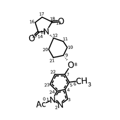 CC(=O)n1ncc2c(C)c(O[C@H]3CC[C@@H](N4C(=O)CCC4=O)CC3)ccc21